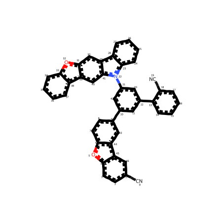 N#Cc1ccc2oc3ccc(-c4cc(-c5ccccc5C#N)cc(-n5c6ccccc6c6cc7oc8ccccc8c7cc65)c4)cc3c2c1